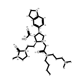 CCCCN(CCCN(C)C)C(=O)CN1C[C@H](c2ccc3c(c2)CCO3)[C@@H](C(=O)O)[C@@H]1CCN1CCN(C)C1=O